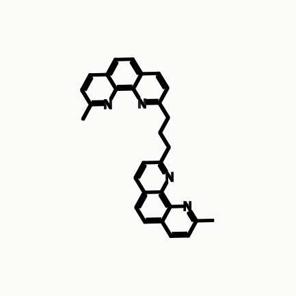 Cc1ccc2ccc3ccc(CCCc4ccc5ccc6ccc(C)nc6c5n4)nc3c2n1